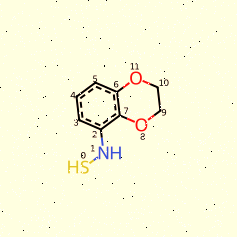 SNc1cccc2c1OCCO2